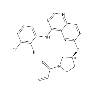 C=CC(=O)N1CC[C@H](Oc2ncc3ncnc(Nc4cccc(Cl)c4F)c3n2)C1